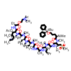 C/C=C/C[C@@H](C)[C@@H](OC(C)=O)[C@@H](C(=O)N[C@@H](CC)C(=O)OCCN(C)C(C)=O)N(C)C(=O)[C@H](C(C)C)N(C)C(=O)[C@H](CC(C)C)N(C)C(=O)[C@H](CC(C)C)N(C)C(=O)[C@@H](C)NC(=O)[C@H](C)NC(=O)[C@H](CCC(C)C)N(C)C(=O)[C@@H](NC(=O)[C@H]([C@H](C)CS(C)(=O)=O)N(C)C(=O)[C@@H](CCCO[Si](c1ccccc1)(c1ccccc1)C(C)(C)C)NC)C(C)C